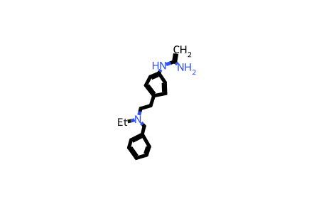 C=C(N)Nc1ccc(CCN(CC)Cc2ccccc2)cc1